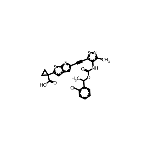 Cc1nsc(C#Cc2cc3cc(C4(C(=O)O)CC4)sc3s2)c1NC(=O)OC(C)c1ccccc1Cl